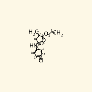 C=CCOC(=O)C(=C)CC(=O)Nc1ccc(Cl)cc1